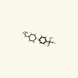 OC[C@H]1CC[C@H](c2ccc(C(F)(F)F)cc2)CC1